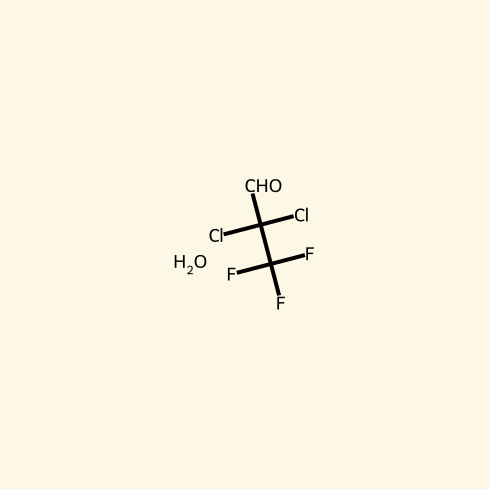 O.O=CC(Cl)(Cl)C(F)(F)F